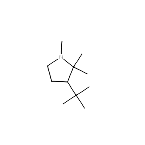 CN1CCC(C(C)(C)C)C1(C)C